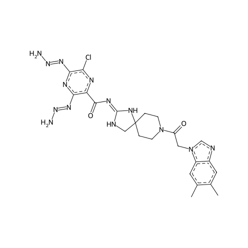 Cc1cc2ncn(CC(=O)N3CCC4(CC3)CN/C(=N\C(=O)c3nc(Cl)c(N=NN)nc3N=NN)N4)c2cc1C